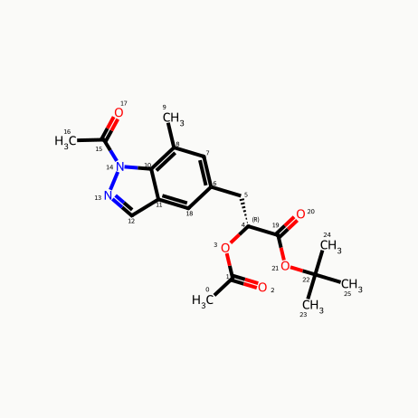 CC(=O)O[C@H](Cc1cc(C)c2c(cnn2C(C)=O)c1)C(=O)OC(C)(C)C